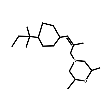 CCC(C)(C)C1CCC(C=C(C)CN2CC(C)OC(C)C2)CC1